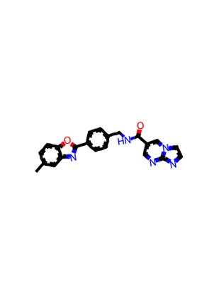 Cc1ccc2oc(-c3ccc(CNC(=O)c4cnc5nccn5c4)cc3)nc2c1